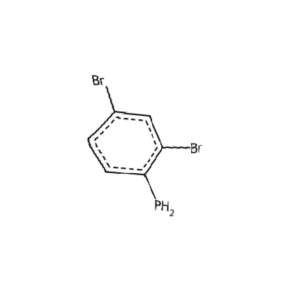 Pc1ccc(Br)cc1Br